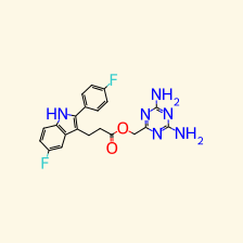 Nc1nc(N)nc(COC(=O)CCc2c(-c3ccc(F)cc3)[nH]c3ccc(F)cc23)n1